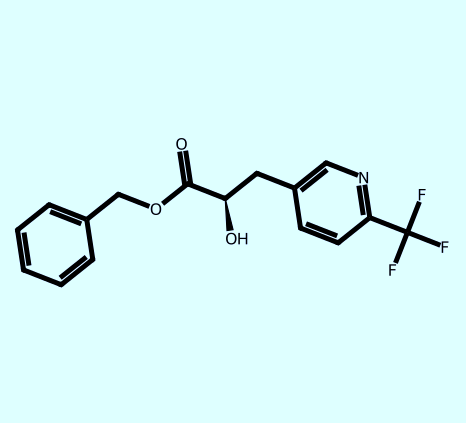 O=C(OCc1ccccc1)[C@H](O)Cc1ccc(C(F)(F)F)nc1